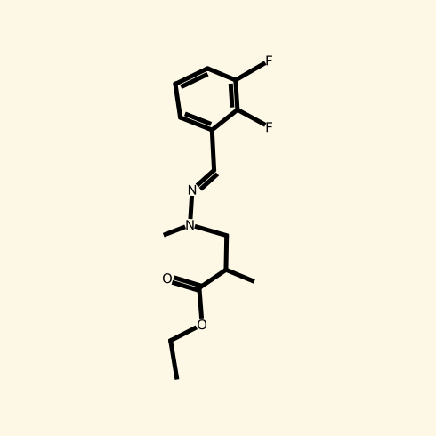 CCOC(=O)C(C)CN(C)N=Cc1cccc(F)c1F